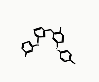 Cc1ccc(Sc2ccc(C)c(Cc3cccc(Sc4cccc(C)c4)c3)c2)cc1